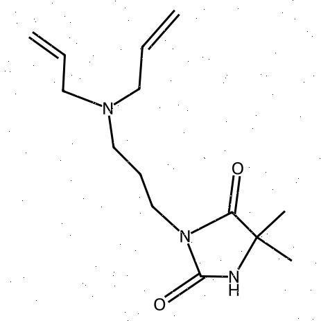 C=CCN(CC=C)CCCN1C(=O)NC(C)(C)C1=O